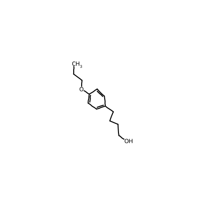 CCCOc1ccc(CCCCO)cc1